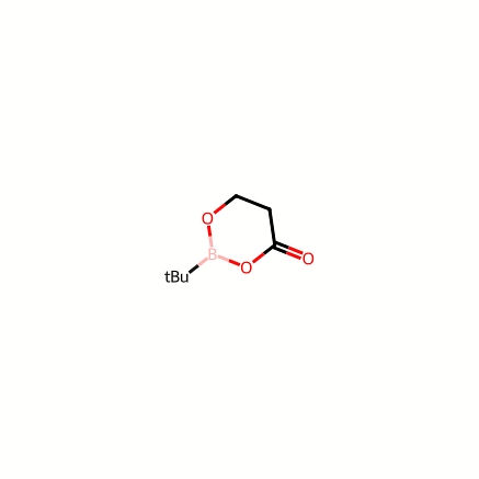 CC(C)(C)B1OCCC(=O)O1